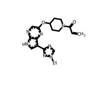 C=CC(=O)N1CCC(Oc2cnc3[nH]cc(-c4ncn(CC)n4)c3n2)CC1